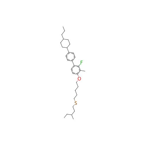 CCCC1CCC(c2ccc(-c3ccc(OCCCCCSCCC(C)CC)c(C)c3F)cc2)CC1